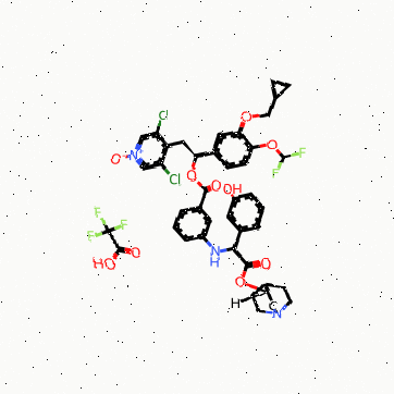 O=C(O)C(F)(F)F.O=C(O[C@@H](Cc1c(Cl)c[n+]([O-])cc1Cl)c1ccc(OC(F)F)c(OCC2CC2)c1)c1cccc(NC(C(=O)O[C@H]2CN3CCC2CC3)c2cccc(O)c2)c1